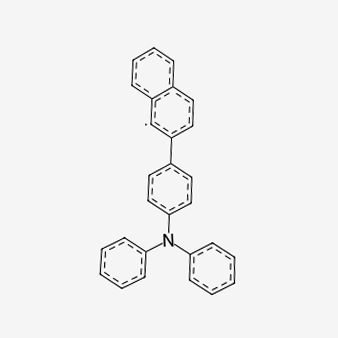 [c]1c(-c2ccc(N(c3ccccc3)c3ccccc3)cc2)ccc2ccccc12